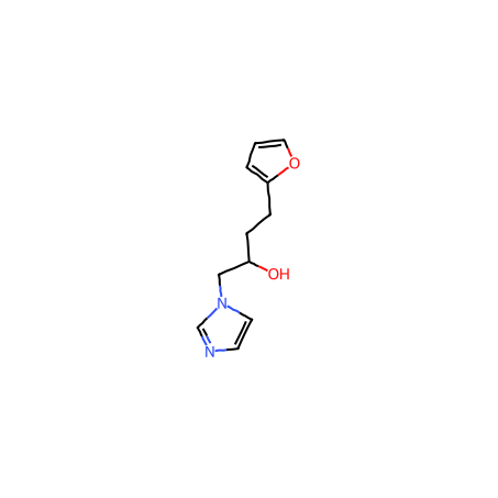 OC(CCc1ccco1)Cn1ccnc1